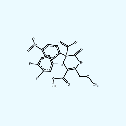 COCC1=C(C(=O)OC)[C@H](c2ccc(F)c(F)c2)[N+](C(=O)[O-])(c2ccc([N+](=O)[O-])cc2)C(=O)N1